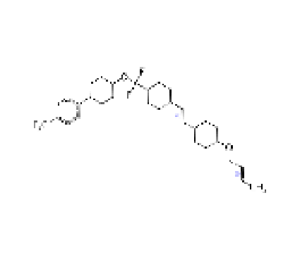 C/C=C/COC1CCC(/C=C/C2CCC(C(F)(F)OC3CCC(c4ccc(C(F)(F)F)cc4)CC3)CC2)CC1